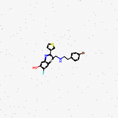 Oc1cc2nc(-c3ccsc3)c(CNCCc3ccc(Br)cc3)cc2cc1F